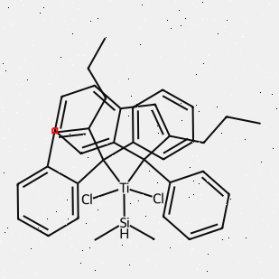 CCCC1=Cc2ccccc2[C]1(c1ccccc1)[Ti]([Cl])([Cl])([SiH](C)C)[C]1(c2ccccc2)C(CCC)=Cc2ccccc21